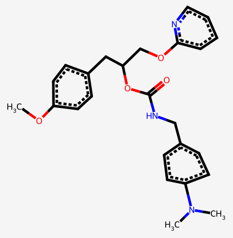 COc1ccc(CC(COc2ccccn2)OC(=O)NCc2ccc(N(C)C)cc2)cc1